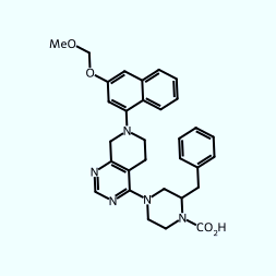 COCOc1cc(N2CCc3c(ncnc3N3CCN(C(=O)O)C(Cc4ccccc4)C3)C2)c2ccccc2c1